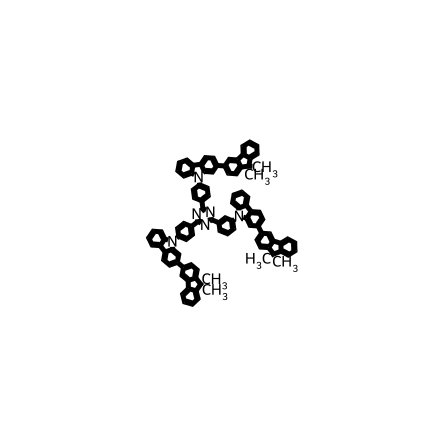 CC1(C)c2ccccc2-c2cc(-c3ccc4c5ccccc5n(-c5ccc(-c6nc(-c7ccc(-n8c9ccccc9c9ccc(-c%10ccc%11c(c%10)-c%10ccccc%10C%11(C)C)cc98)cc7)nc(-c7cccc(-n8c9ccccc9c9ccc(-c%10ccc%11c(c%10)-c%10ccccc%10C%11(C)C)cc98)c7)n6)cc5)c4c3)ccc21